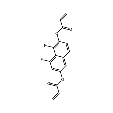 C=CC(=O)Oc1cc(F)c2c(F)c(OC(=O)C=C)ccc2c1